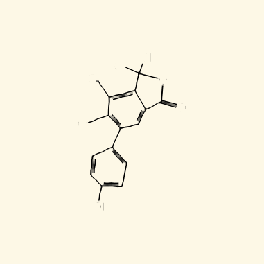 O=C1OC(Cl)(Cl)c2c1cc(-c1ccc(O)cc1)c(Cl)c2Cl